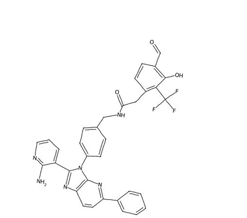 Nc1ncccc1-c1nc2ccc(-c3ccccc3)nc2n1-c1ccc(CNC(=O)Cc2ccc(C=O)c(O)c2C(F)(F)F)cc1